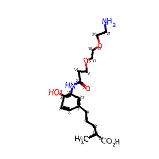 CC(CCCc1ccc(O)c(NC(=O)CCOCCOCCN)c1)C(=O)O